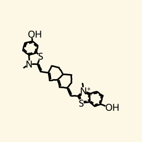 CN1/C(=C/C2=CC3=C/C(=C/c4sc5cc(O)ccc5[n+]4C)CCC3CC2)Sc2cc(O)ccc21